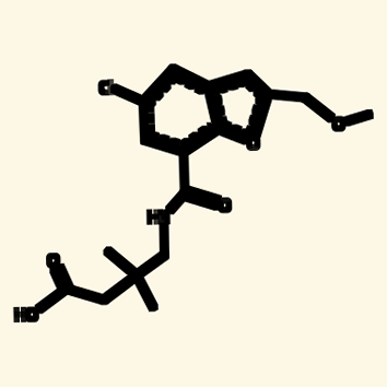 COCc1cc2cc(Cl)cc(C(=O)NCC(C)(C)CC(=O)O)c2o1